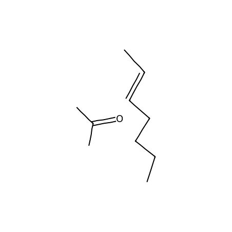 CC(C)=O.CC=CCCCC